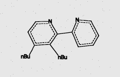 CCCCc1ccnc(-c2ccccn2)c1CCCC